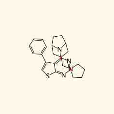 c1ccc(-c2csc3ncnc(N4C5CCC4CC(CN4CCCC4)C5)c23)cc1